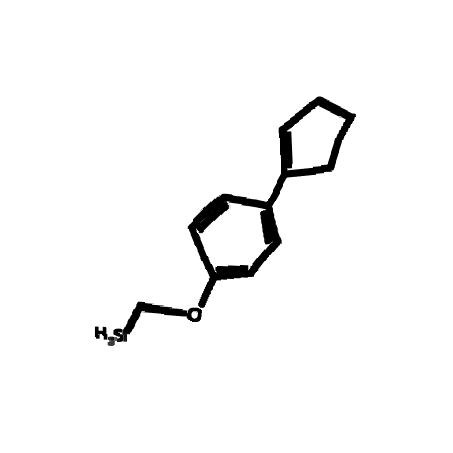 [SiH3]COc1ccc(C2=CCCC2)cc1